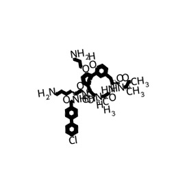 CC(=O)[C@H](C)NC(=O)[C@@H]1Cc2ccc(O)c(c2)-c2cc(ccc2OCCCN)[C@H](N(C)C(=O)[C@H](CCCCN)NC(=O)c2ccc(-c3ccc(Cl)cc3)cc2)C(=O)N[C@@H](C)C(=O)N1